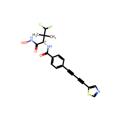 CC(C)(C(F)F)[C@H](NC(=O)c1ccc(C#CC#Cc2cncs2)cc1)C(=O)NO